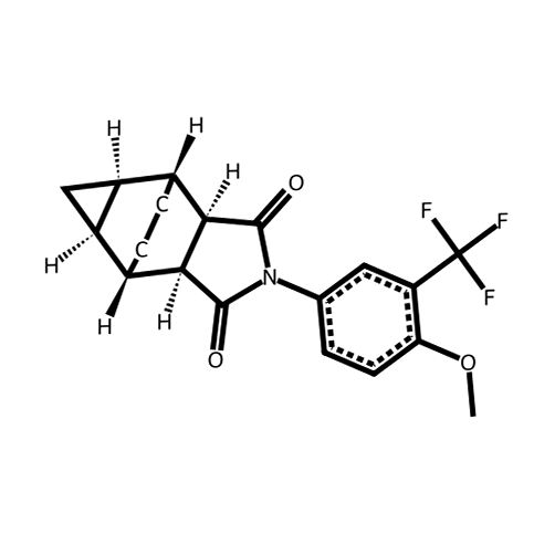 COc1ccc(N2C(=O)[C@@H]3[C@@H]4CC[C@@H]([C@H]5C[C@H]54)[C@@H]3C2=O)cc1C(F)(F)F